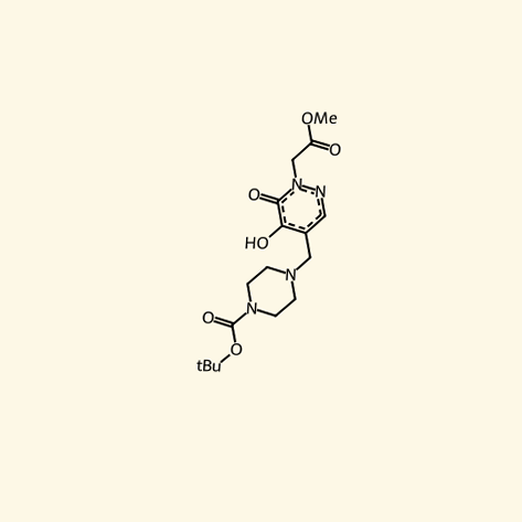 COC(=O)Cn1ncc(CN2CCN(C(=O)OC(C)(C)C)CC2)c(O)c1=O